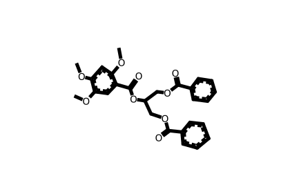 COc1cc(OC)c(C(=O)OC(COC(=O)c2ccccc2)COC(=O)c2ccccc2)cc1OC